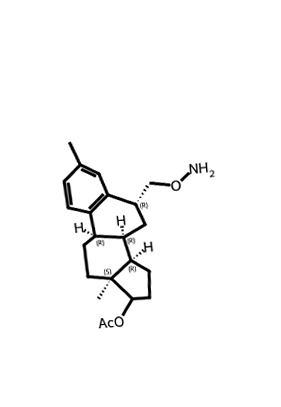 CC(=O)OC1CC[C@@H]2[C@@H]3C[C@@H](CON)c4cc(C)ccc4[C@@H]3CC[C@]12C